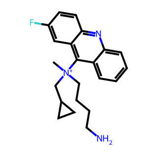 C[N+](CCCCN)(CC1CC1)c1c2ccccc2nc2ccc(F)cc12